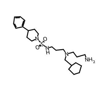 NCCCN(CCCNS(=O)(=O)N1CCC(c2ccccc2)CC1)CC1CCCCC1